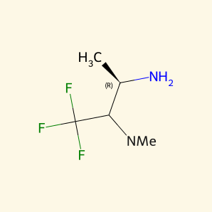 CNC([C@@H](C)N)C(F)(F)F